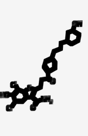 NC(=O)c1c(CCC(=O)c2ccc(CCCC3CCCC(O)C3)cc2)sc2c(Cl)c(O)c(Cl)cc12